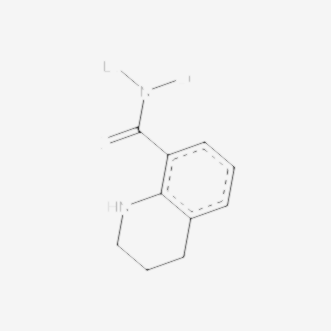 CCN(CC)C(=O)c1cccc2c1NCCC2